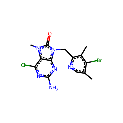 Cc1cnc(Cn2c(=O)n(C)c3c(Cl)nc(N)nc32)c(C)c1Br